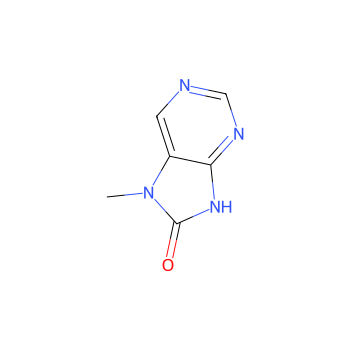 Cn1c(=O)[nH]c2ncncc21